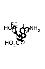 N[C@H]1C[C@H]2CCCc3c(ccc4c(=O)c(C(=O)O)cn(C5CC5)c34)N2C1.O=C(O)C(F)(F)F